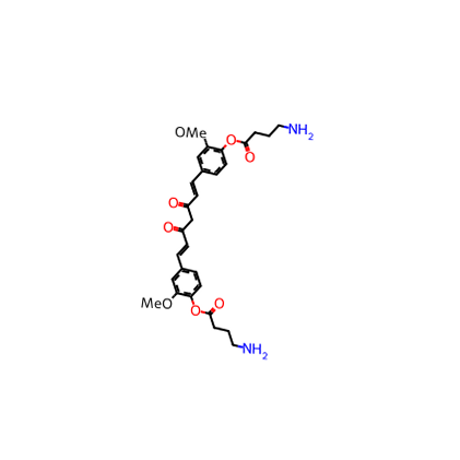 COc1cc(/C=C/C(=O)CC(=O)/C=C/c2ccc(OC(=O)CCCN)c(OC)c2)ccc1OC(=O)CCCN